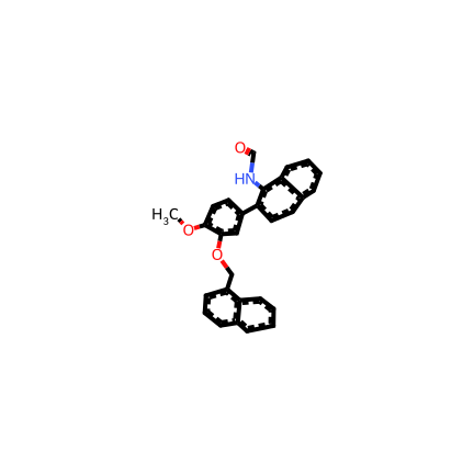 COc1ccc(-c2ccc3ccccc3c2NC=O)cc1OCc1cccc2ccccc12